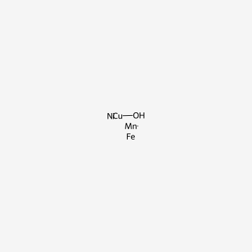 [Fe].[Mn].[Ni].[OH][Cu]